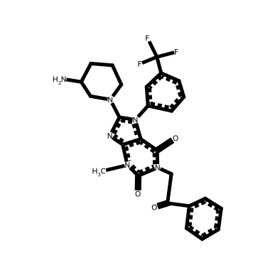 Cn1c(=O)n(CC(=O)c2ccccc2)c(=O)c2c1nc(N1CCCC(N)C1)n2-c1cccc(C(F)(F)F)c1